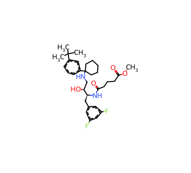 COC(=O)CCCC(=O)N[C@@H](Cc1cc(F)cc(F)c1)[C@@H](O)CNC1(c2cccc(C(C)(C)C)c2)CCCCC1